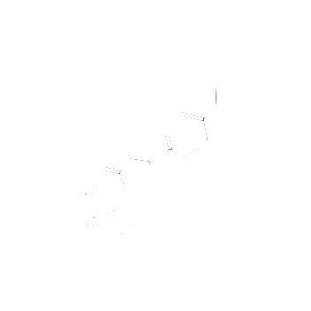 CCCCOC(=O)/C=C\C(=O)OCC(=O)O[Si](CCCC)(CCCC)CCCC